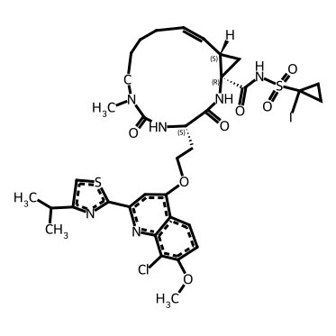 COc1ccc2c(OCC[C@@H]3NC(=O)N(C)CCCCC=C[C@@H]4C[C@@]4(C(=O)NS(=O)(=O)C4(I)CC4)NC3=O)cc(-c3nc(C(C)C)cs3)nc2c1Cl